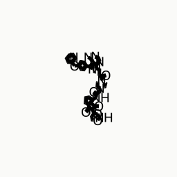 Nc1ncnc2c1c(-c1ccc(Oc3ccccc3)cc1)nn2CCC(=O)N1CCN(CC(=O)Nc2cccc3c2C(=O)N(C2CCONO2)C3=O)CC1